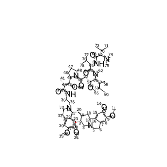 CC[C@H]1CN2CCc3cc(OC)c(OC)cc3C2C[C@@H]1C[C@@H]1c2cc(OC)c(OC)cc2CCN1CCNC(=O)[C@H](C)[C@@H](OC)C1CCCN1C(=O)C[C@@H](OC)[C@H]([C@@H](C)CC)N(C)C(=O)[C@@H](NC(=O)[C@H](C(C)C)N(C)C)C(C)C